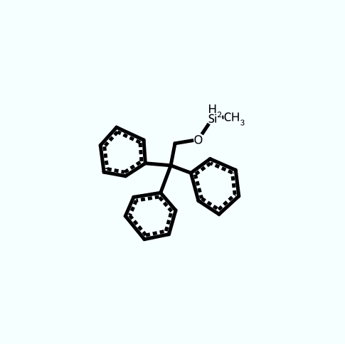 C[SiH2]OCC(c1ccccc1)(c1ccccc1)c1ccccc1